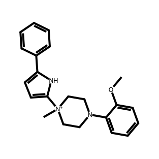 COc1ccccc1N1CC[N+](C)(c2ccc(-c3ccccc3)[nH]2)CC1